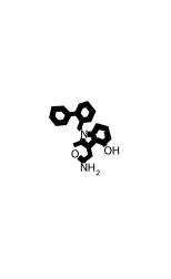 Cc1c(CC(N)=O)c2c(O)cccc2n1Cc1ccccc1-c1ccccc1